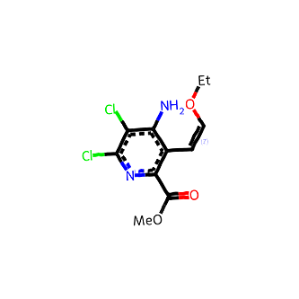 CCO/C=C\c1c(C(=O)OC)nc(Cl)c(Cl)c1N